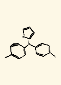 Ic1ccc(Nc2ccc(I)cc2)cc1.c1cc[nH]c1